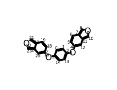 c1cc(Oc2ccc3cocc3c2)ccc1Oc1ccc2cocc2c1